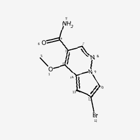 COc1c(C(N)=O)cnn2cc(Br)cc12